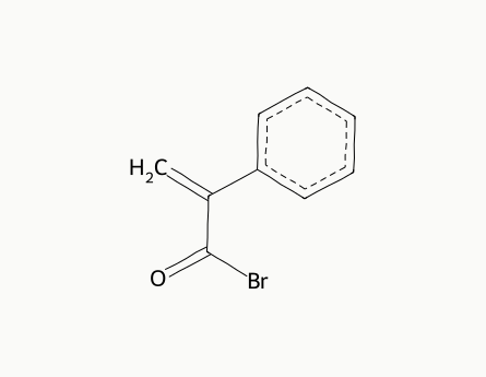 C=C(C(=O)Br)c1ccccc1